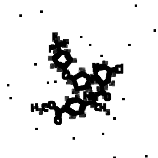 COC(=O)c1ccc([C@H](C)NC(=O)c2cc(Cl)cnc2N2CCC(Oc3ccc(C(F)(F)F)cc3)C2)cc1